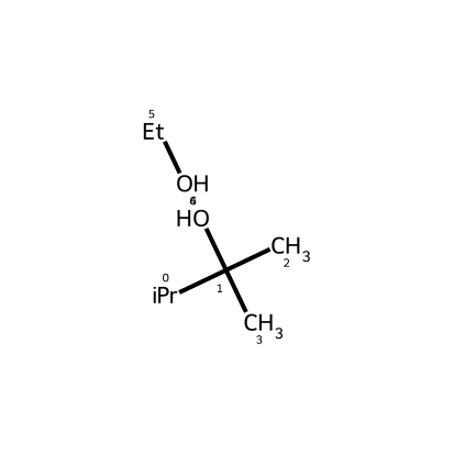 CC(C)C(C)(C)O.CCO